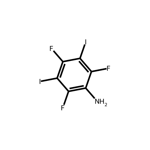 Nc1c(F)c(I)c(F)c(I)c1F